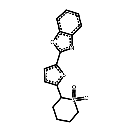 O=S1(=O)CCCC[C]1c1ccc(-c2nc3ccccc3o2)s1